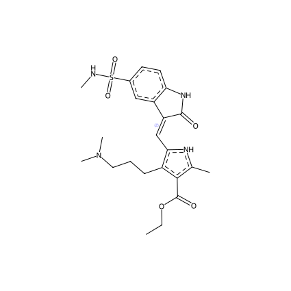 CCOC(=O)c1c(C)[nH]c(/C=C2\C(=O)Nc3ccc(S(=O)(=O)NC)cc32)c1CCCN(C)C